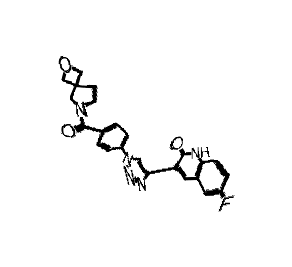 O=C(c1ccc(-n2cc(-c3cc4cc(F)ccc4[nH]c3=O)nn2)cc1)N1CCC2(COC2)C1